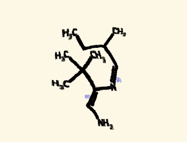 CCC(C)/C=N\C(=C/N)C(C)(C)C